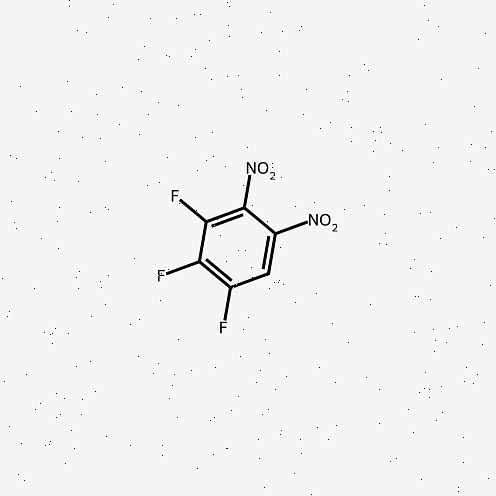 O=[N+]([O-])c1cc(F)c(F)c(F)c1[N+](=O)[O-]